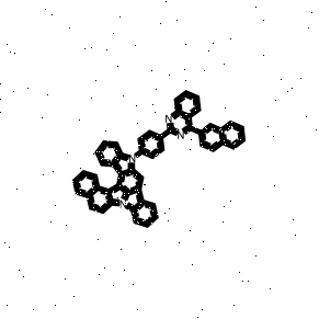 c1ccc2cc(-c3nc(-c4ccc(-n5c6ccccc6c6c7c8c9ccccc9ccc8n8c9ccccc9c(cc65)c78)cc4)nc4ccccc34)ccc2c1